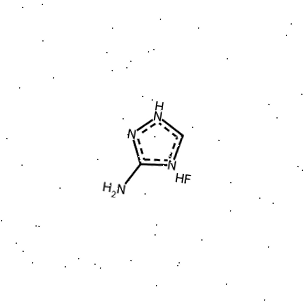 F.Nc1nc[nH]n1